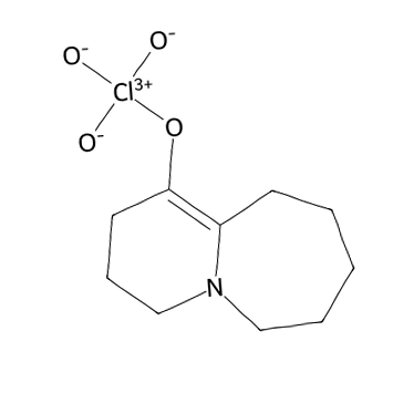 [O-][Cl+3]([O-])([O-])OC1=C2CCCCCN2CCC1